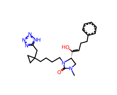 CN1C[C@@H](C(O)=CCCc2ccccc2)N(CCCCC2(Cc3nnn[nH]3)CC2)C1=O